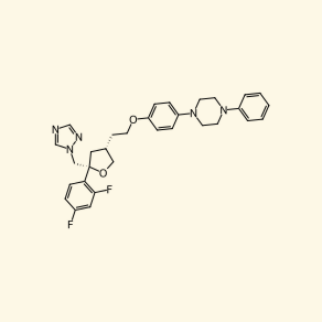 Fc1ccc([C@@]2(Cn3cncn3)C[C@H](CCOc3ccc(N4CCN(c5ccccc5)CC4)cc3)CO2)c(F)c1